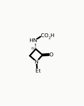 CCN1C[C@H](NC(=O)O)C1=O